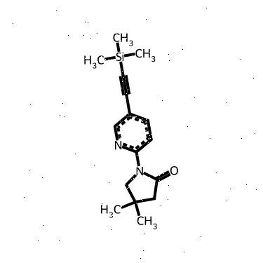 CC1(C)CC(=O)N(c2ccc(C#C[Si](C)(C)C)cn2)C1